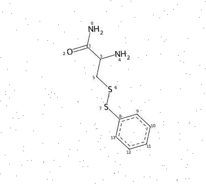 NC(=O)C(N)CSSc1ccccc1